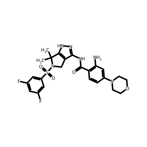 CC1(C)c2[nH]nc(NC(=O)c3ccc(N4CCOCC4)cc3N)c2CN1S(=O)(=O)c1cc(F)cc(F)c1